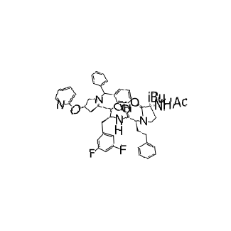 CC[C@@H](C)[C@@]1(NC(C)=O)CCN([C@@H](CCc2ccccc2)C(=O)N[C@@H](Cc2cc(F)cc(F)c2)[C@H](O)[C@H]2C[C@@H](Oc3ccccn3)CN2C(c2ccccc2)c2ccccc2)C1=O